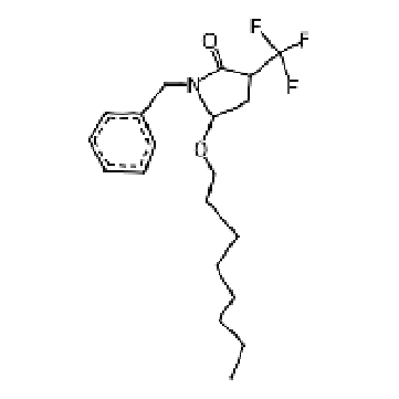 CCCCCCCCOC1CC(C(F)(F)F)C(=O)N1Cc1ccccc1